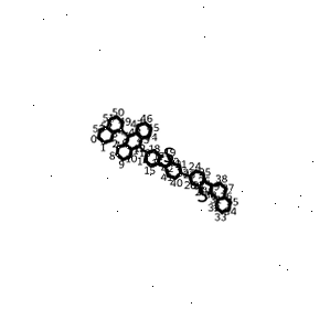 c1ccc2c(-c3c4ccccc4c(-c4ccc5c(c4)sc4cc(-c6ccc7c(c6)sc6c8ccccc8ccc76)ccc45)c4ccccc34)cccc2c1